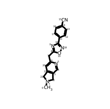 CN1Cc2cnc(Cc3nc(-c4ccc(C#N)cc4)no3)cc2C1